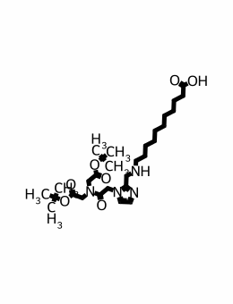 CC(C)(C)OC(=O)CN(CC(=O)OC(C)(C)C)C(=O)Cn1ccnc1CNCCCCCCCCCCC(=O)O